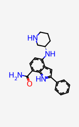 NC(=O)c1ccc(N[C@H]2CCCNC2)c2cc(-c3ccccc3)[nH]c12